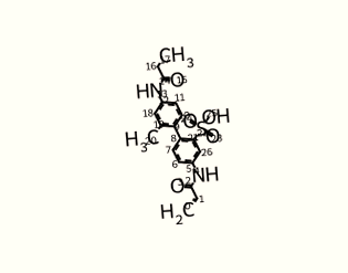 C=CC(=O)Nc1ccc(-c2ccc(NC(=O)CC)cc2C)c(S(=O)(=O)O)c1